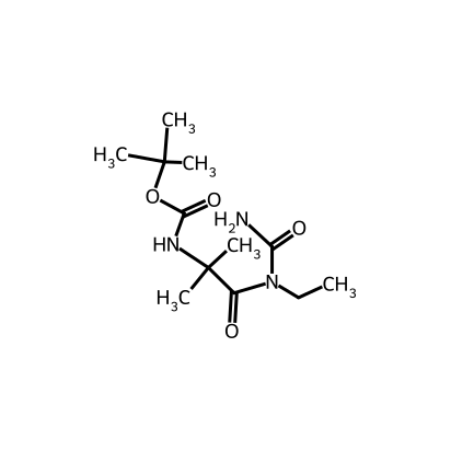 CCN(C(N)=O)C(=O)C(C)(C)NC(=O)OC(C)(C)C